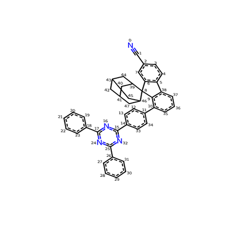 N#Cc1ccc2c(c1)C1(c3c(-c4ccc(-c5nc(-c6ccccc6)nc(-c6ccccc6)n5)cc4)cccc3-2)C2CC3CC(C2)CC1C3